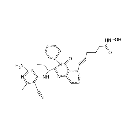 CCC(Nc1nc(N)nc(C)c1C#N)c1nc2cccc(C#CCCCC(=O)NO)c2c(=O)n1-c1ccccc1